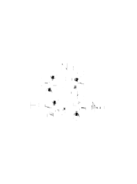 O=S(=O)(O)OOS(=O)(=O)O.O=S(=O)([O-])OOS(=O)(=O)[O-].[Na+].[Na+]